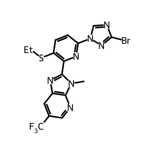 CCSc1ccc(-n2cnc(Br)n2)nc1-c1nc2cc(C(F)(F)F)cnc2n1C